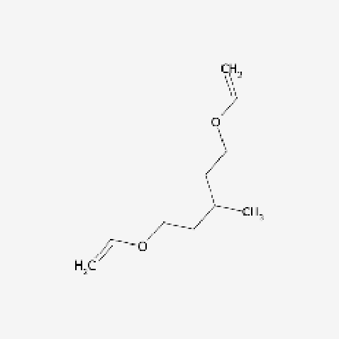 C=COCCC(C)CCOC=C